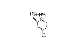 ClC1=CC2=CNNN2C=C1